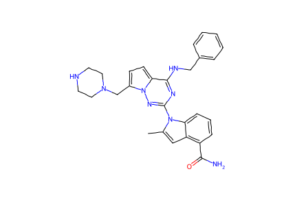 Cc1cc2c(C(N)=O)cccc2n1-c1nc(NCc2ccccc2)c2ccc(CN3CCNCC3)n2n1